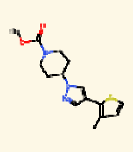 Cc1ccsc1-c1cnn(C2CCN(C(=O)OC(C)(C)C)CC2)c1